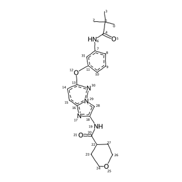 CC(C)(C)C(=O)Nc1cccc(Oc2ccc3nc(NC(=O)C4CCOCC4)cn3n2)c1